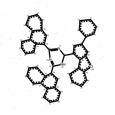 c1ccc(-c2cc(C3N=C(c4cc5ccccc5c5ccccc45)N=C(c4cc5ccccc5c5ccccc45)N3)c3c(c2)oc2ccccc23)cc1